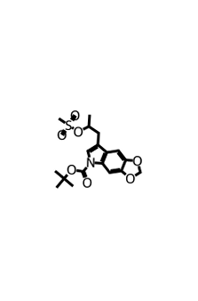 CC(Cc1cn(C(=O)OC(C)(C)C)c2cc3c(cc12)OCO3)OS(C)(=O)=O